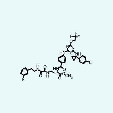 COC(=O)[C@H](CCNC(=O)C(=O)NCCc1cccc(F)c1)NC(=O)c1ccc(Nc2nc(NC3(c4ccc(Cl)cc4)CC3)nc(OCC(F)(F)F)n2)cc1